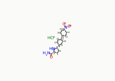 Cl.NC(=O)c1ccc(-c2ccc(-c3ccc([N+](=O)[O-])cc3)cc2)[nH]1